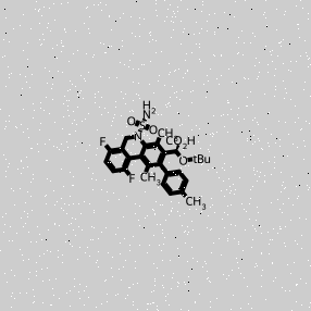 Cc1ccc(-c2c(C)c3c(c(C)c2[C@H](OC(C)(C)C)C(=O)O)N(S(N)(=O)=O)Cc2c(F)ccc(F)c2-3)cc1